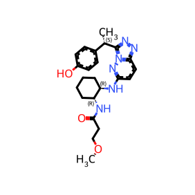 COCCC(=O)N[C@@H]1CCCC[C@H]1Nc1ccc2nnc([C@@H](C)c3ccc(O)cc3)n2n1